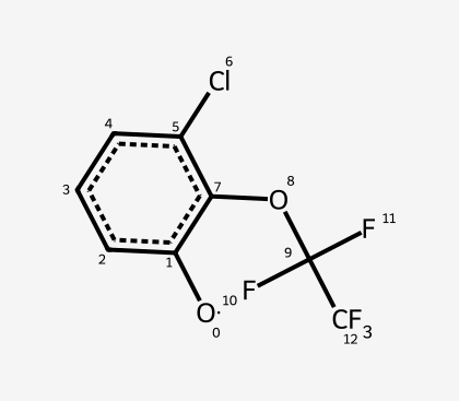 [O]c1cccc(Cl)c1OC(F)(F)C(F)(F)F